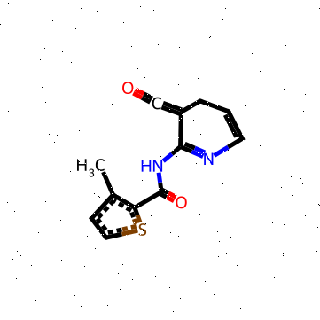 Cc1ccsc1C(=O)NC1=NC=CCC1=C=O